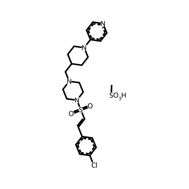 CS(=O)(=O)O.O=S(=O)(C=Cc1ccc(Cl)cc1)N1CCN(CC2CCN(c3ccncc3)CC2)CC1